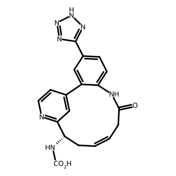 O=C(O)N[C@H]1CC=CCC(=O)Nc2ccc(-c3nn[nH]n3)cc2-c2ccnc1c2